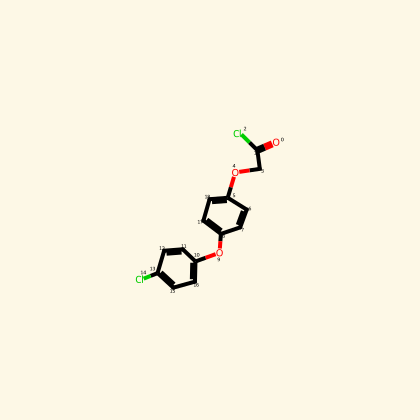 O=C(Cl)COc1ccc(Oc2ccc(Cl)cc2)cc1